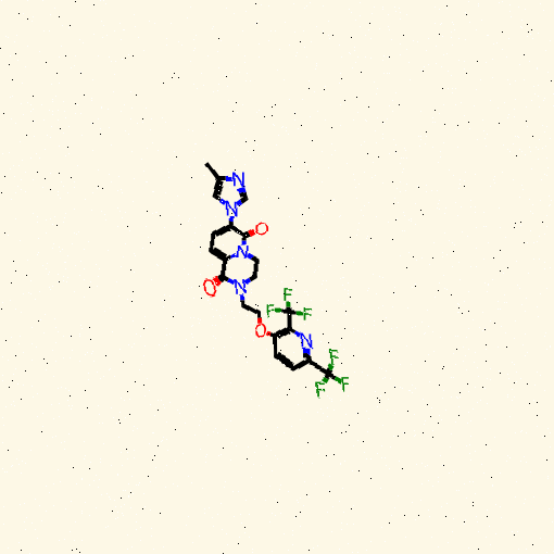 Cc1cn(-c2ccc3n(c2=O)CCN(CCOc2ccc(C(F)(F)F)nc2C(F)(F)F)C3=O)cn1